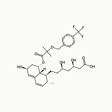 C[C@@H]1C=CC2=C[C@@H](O)C[C@H](OC(=O)C(C)(C)OCc3ccc(C(F)(F)F)cc3)[C@@H]2[C@H]1CC[C@@H](O)C[C@@H](O)CC(=O)O